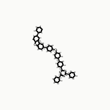 c1ccc(-c2ccc3oc4ccc(-c5ccc(Oc6ccc(-c7ccc(-c8nc(-c9ccccc9)nc(-c9ccccc9)n8)cc7)cc6)cc5)cc4c3c2)cc1